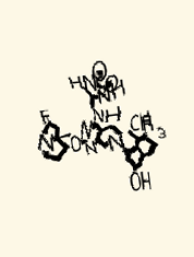 CCc1c(F)ccc2cc(O)cc(N3CCc4c(nc(OC[C@@]56CCCN5C[C@H](F)C6)nc4NCC4CNS(=O)(=O)N4)C3)c12